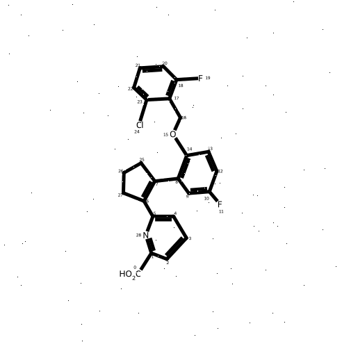 O=C(O)c1cccc(C2=C(c3cc(F)ccc3OCc3c(F)cccc3Cl)CCC2)n1